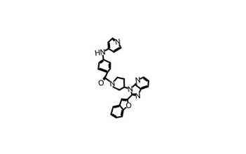 O=C(c1ccc(Nc2ccncc2)cc1)N1CCC(n2c(-c3cc4ccccc4o3)nc3cccnc32)CC1